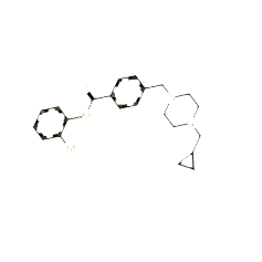 Nc1ccccc1NC(=O)c1ccc(CN2CCN(CC3CC3)CC2)cc1